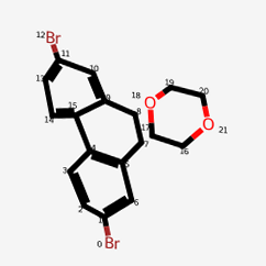 Brc1ccc2c(c1)CCc1cc(Br)ccc1-2.C1COCCO1